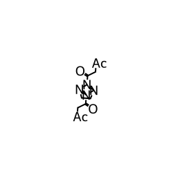 CC(=O)CC(=O)N1N2CCN1N2C(=O)CC(C)=O